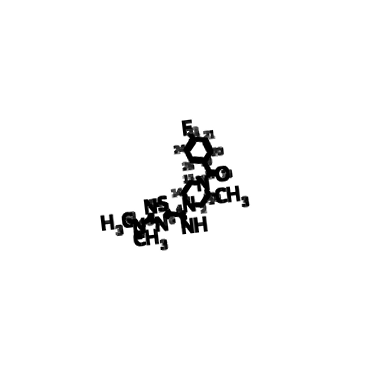 C[C@@H]1CN(C(=N)c2nc(N(C)C)ns2)CCN1C(=O)c1ccc(F)cc1